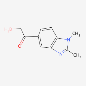 BCC(=O)c1ccc2c(c1)nc(C)n2C